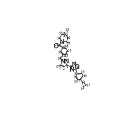 Cc1cc(-c2noc(-c3ccc(C4CC4)cc3)n2)nn1Cc1cccc(C(=O)N2CCN(C)CC2)c1